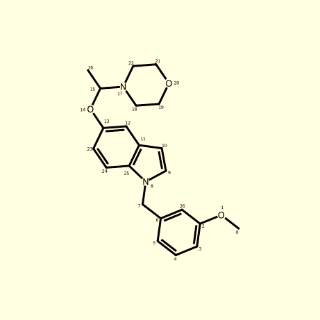 COc1cccc(Cn2ccc3cc(OC(C)N4CCOCC4)ccc32)c1